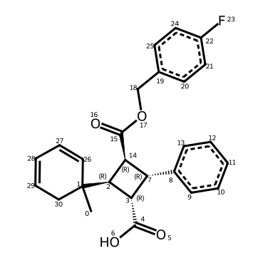 CC1([C@@H]2[C@@H](C(=O)O)[C@@H](c3ccccc3)[C@@H]2C(=O)OCc2ccc(F)cc2)C=CC=CC1